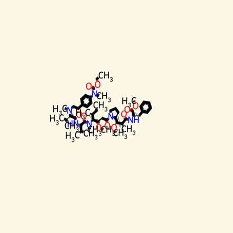 CCOC(=O)N(C)c1ccc(CCN(C)[C@H](C(=O)N[C@H](C(=O)N(C)[C@@H]([C@@H](C)CC)[C@@H](CC(=O)N2CCC[C@H]2[C@H](OC)[C@@H](C)C(=O)N[C@@H](Cc2ccccc2)C(=O)OC)OC)C(C)C)C(C)C)cc1